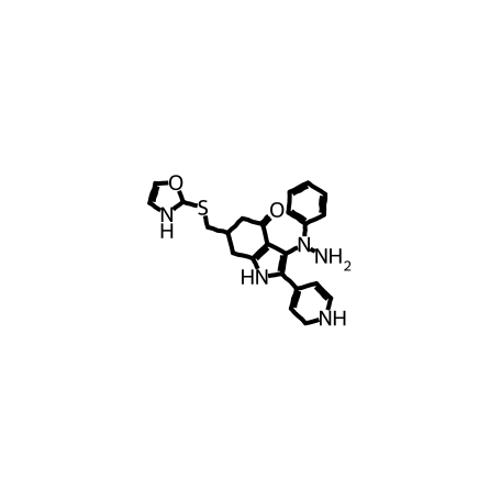 NN(c1ccccc1)c1c(C2=CCNC=C2)[nH]c2c1C(=O)CC(CSC1NC=CO1)C2